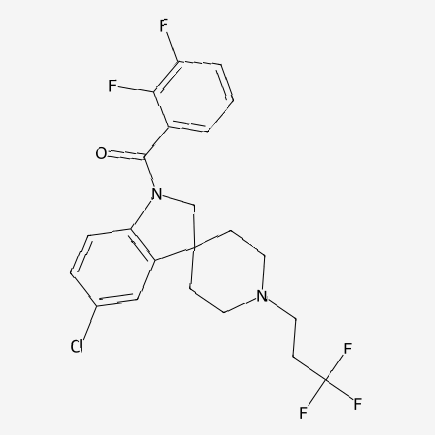 O=C(c1cccc(F)c1F)N1CC2(CCN(CCC(F)(F)F)CC2)c2cc(Cl)ccc21